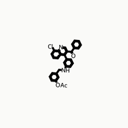 CC(=O)Oc1cccc(CNc2cccc(-c3c(C(=O)c4ccccc4)cnc4c(Cl)cccc34)c2)c1